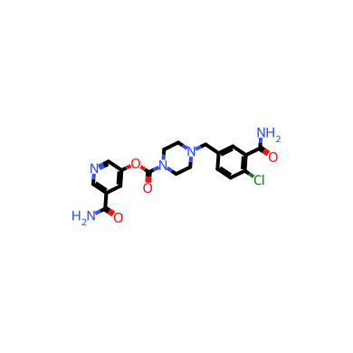 NC(=O)c1cncc(OC(=O)N2CCN(Cc3ccc(Cl)c(C(N)=O)c3)CC2)c1